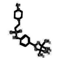 CC(=O)N1CCN(CCS(=O)(=O)Nc2ccc(B3OC(C)(C)C(C)(C)O3)cc2)CC1